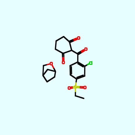 C1CC2CC1CO2.CCS(=O)(=O)c1ccc(C(=O)C2C(=O)CCCC2=O)c(Cl)c1